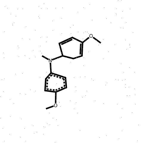 COC1=CCC(N(C)c2ccc(OC)cc2)C=C1